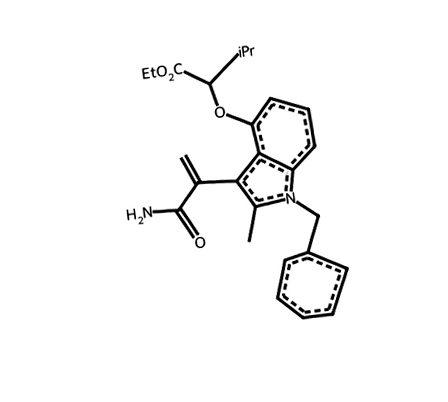 C=C(C(N)=O)c1c(C)n(Cc2ccccc2)c2cccc(OC(C(=O)OCC)C(C)C)c12